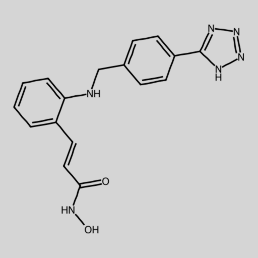 O=C(C=Cc1ccccc1NCc1ccc(-c2nnn[nH]2)cc1)NO